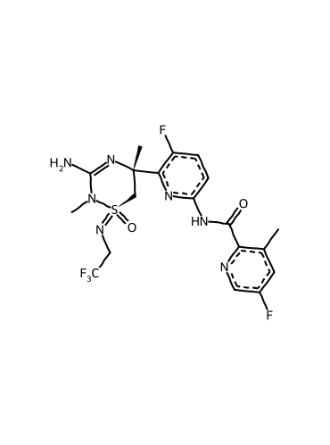 Cc1cc(F)cnc1C(=O)Nc1ccc(F)c([C@]2(C)C[S@@](=O)(=NCC(F)(F)F)N(C)C(N)=N2)n1